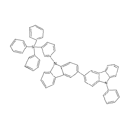 c1ccc(-n2c3ccccc3c3cc(-c4ccc5c(c4)c4ccccc4n5-c4cccc([Si](c5ccccc5)(c5ccccc5)c5ccccc5)c4)ccc32)cc1